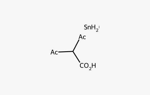 CC(=O)C(C(C)=O)C(=O)O.[SnH2]